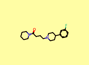 O=C(CCCN1CCC(c2cccc(F)c2)CC1)N1CCCCC1